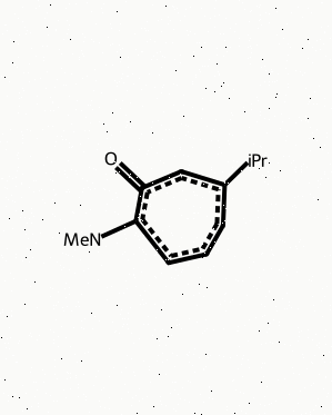 CNc1cccc(C(C)C)cc1=O